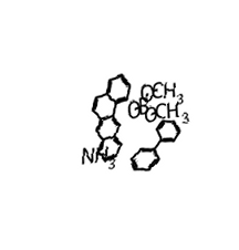 COB(OC)Oc1cccc2ccc3cc4ccccc4cc3c12.N.c1ccc(-c2ccccc2)cc1